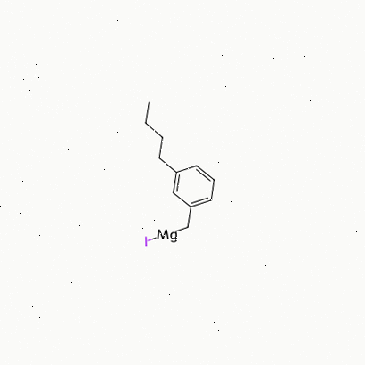 CCCCc1cccc([CH2][Mg][I])c1